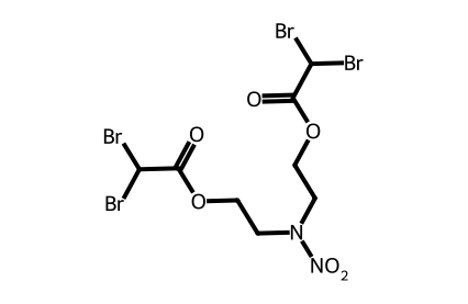 O=C(OCCN(CCOC(=O)C(Br)Br)[N+](=O)[O-])C(Br)Br